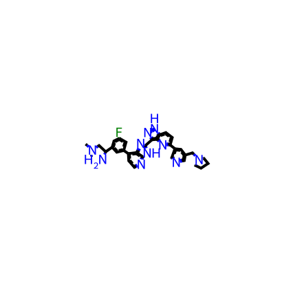 CN(C)CC(N)c1cc(F)cc(-c2ccnc3[nH]c(-c4n[nH]c5ccc(-c6cncc(CN7CCCC7)c6)nc45)nc23)c1